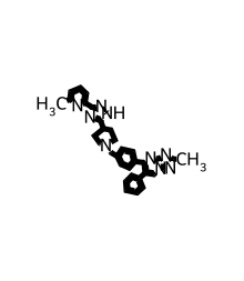 Cc1cccc(-c2n[nH]c(C3CCN(Cc4ccc(-c5nc6nc(C)nn6cc5-c5ccccc5)cc4)CC3)n2)n1